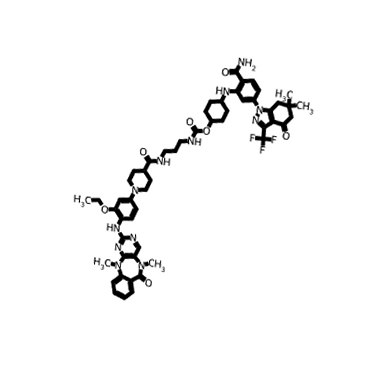 CCOc1cc(N2CCC(C(=O)NCCCNC(=O)OC3CCC(Nc4cc(-n5nc(C(F)(F)F)c6c5CC(C)(C)CC6=O)ccc4C(N)=O)CC3)CC2)ccc1Nc1ncc2c(n1)N(C)c1ccccc1C(=O)N2C